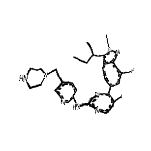 CCC(C)c1c2cc(-c3nc(Nc4ccc(CN5CCNCC5)cn4)ncc3I)cc(F)c2nn1C